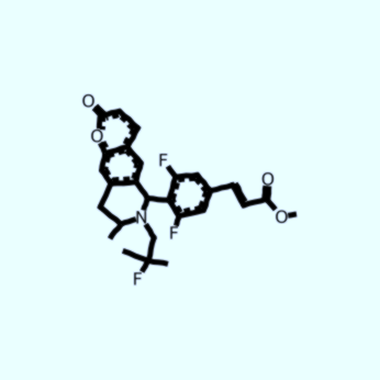 COC(=O)/C=C/c1cc(F)c(C2c3cc4ccc(=O)oc4cc3CC(C)N2CC(C)(C)F)c(F)c1